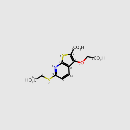 O=C(O)COc1c(C(=O)O)sc2nc(SCC(=O)O)ccc12